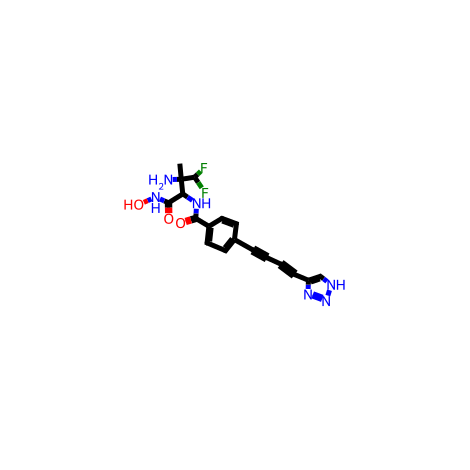 CC(N)(C(F)F)C(NC(=O)c1ccc(C#CC#Cc2c[nH]nn2)cc1)C(=O)NO